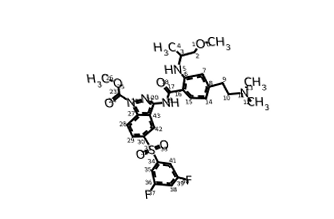 COCC(C)Nc1cc(CCN(C)C)ccc1C(=O)Nc1nn(C(=O)OC)c2ccc(S(=O)(=O)c3cc(F)cc(F)c3)cc12